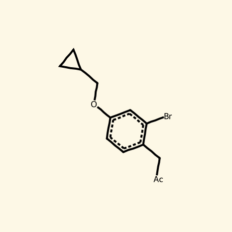 CC(=O)Cc1ccc(OCC2CC2)cc1Br